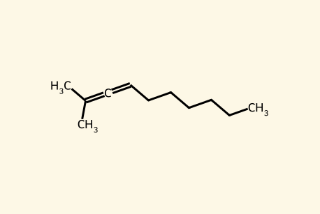 CCCCCCC=C=C(C)C